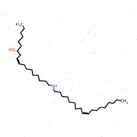 CCCCCCCC/C=C\CCCCCCCCNCCCCCCCC/C=C\C[C@H](O)CCCCCC